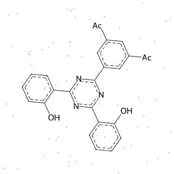 CC(=O)c1cc(C(C)=O)cc(-c2nc(-c3ccccc3O)nc(-c3ccccc3O)n2)c1